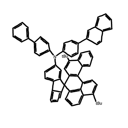 CC(C)(C)c1cc2c(c3ccccc13)-c1ccc(C(C)(C)C)c3cccc(c13)C21c2ccccc2-c2ccc(N(c3ccc(-c4ccccc4)cc3)c3ccc(-c4ccc5ccccc5c4)cc3)cc21